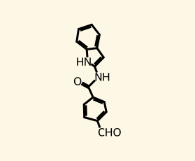 O=Cc1ccc(C(=O)Nc2cc3ccccc3[nH]2)cc1